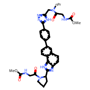 CCCN(Cc1nnc(-c2ccc(-c3ccc4c(ccc5nc(C6CCCN6C(=O)CNC(=O)OC)[nH]c54)c3)cc2)[nH]1)C(=O)CNC(=O)OC